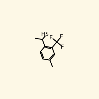 Cc1ccc(C(C)S)c(C(F)(F)F)c1